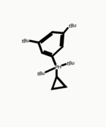 CC(C)(C)c1cc(C(C)(C)C)cc([PH](C2CC2)(C(C)(C)C)C(C)(C)C)c1